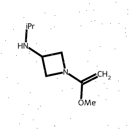 C=C(OC)N1CC(NC(C)C)C1